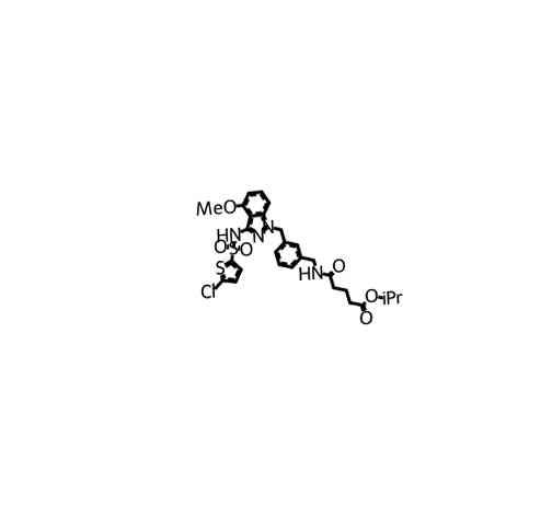 COc1cccc2c1c(NS(=O)(=O)c1ccc(Cl)s1)nn2Cc1cccc(CNC(=O)CCCC(=O)OC(C)C)c1